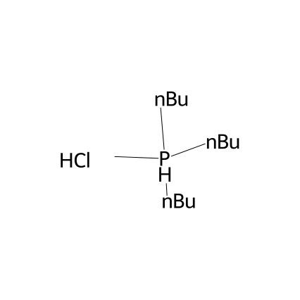 CCCC[PH](C)(CCCC)CCCC.Cl